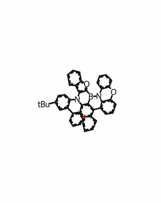 CC(C)(C)c1ccc(N2c3cc4ccccc4c4c3B(c3oc5ccccc5c32)N2c3ccccc3Oc3cccc-4c32)c(-c2ccccc2)c1